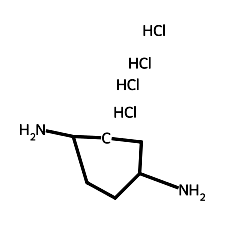 Cl.Cl.Cl.Cl.NC1CCC(N)CC1